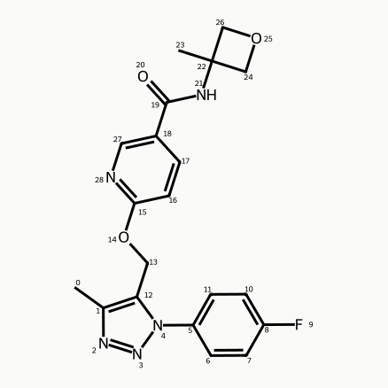 Cc1nnn(-c2ccc(F)cc2)c1COc1ccc(C(=O)NC2(C)COC2)cn1